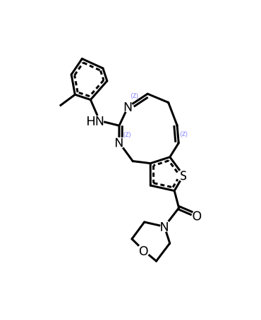 Cc1ccccc1NC1=N/Cc2cc(C(=O)N3CCOCC3)sc2/C=C\C/C=N\1